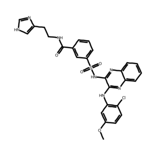 COc1ccc(Cl)c(Nc2nc3ccccc3nc2NS(=O)(=O)c2cccc(C(=O)NCCc3c[nH]cn3)c2)c1